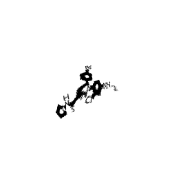 Nc1ccc(N2N=C(C(=S)NN3CCCC3)CC2c2ccc(Br)cc2)c(Cl)c1